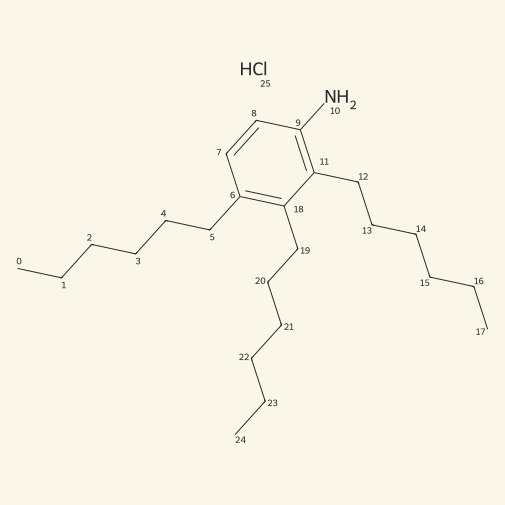 CCCCCCc1ccc(N)c(CCCCCC)c1CCCCCC.Cl